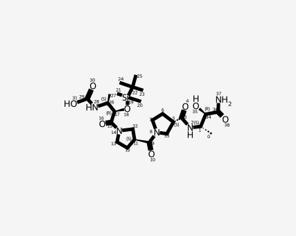 C[C@H](NC(=O)[C@H]1CCN(C(=O)[C@H]2CCN(C(=O)[C@H](O[Si](C)(C)C(C)(C)C)[C@H](C)NC(=O)O)C2)C1)[C@@H](O)C(N)=O